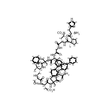 C[C@@H](O)[C@H](NC(=O)CNC(=O)[C@H](CCC(=O)O)NC(=O)[C@]1(C)CCCN1C(=O)[C@@H](N)Cc1c[nH]cn1)C(=O)NC(C)(Cc1ccccc1F)C(=O)N[C@H](CN[C@@H](CO)C(=O)N[C@@H](CC(=O)O)C(=O)NC(C)(Cc1ccc(-c2ccccc2)cc1)C(=O)N[C@@H](Cc1ccc(-c2ccccc2)cc1)C(N)=O)[C@@H](C)O